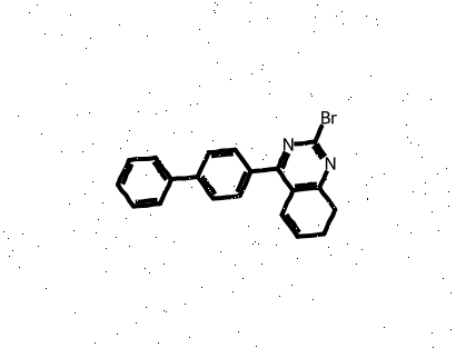 Brc1nc2c(c(-c3ccc(-c4ccccc4)cc3)n1)C=CCC2